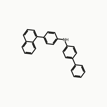 c1ccc(-c2ccc(Nc3ccc(-c4cccc5ccccc45)cc3)cc2)cc1